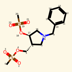 CS(=O)(=O)OC[C@H]1CN(Cc2ccccc2)C[C@@H]1OS(C)(=O)=O